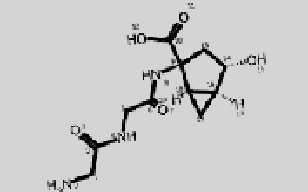 NCC(=O)NCC(=O)N[C@@]1(C(=O)O)C[C@H](O)[C@H]2C[C@H]21